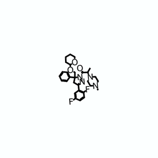 CC(C(=O)N1N=C(c2cc(F)ccc2F)CC1(COC1CCCCO1)c1ccccc1)N1CCN(C)CC1